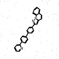 c1ccc(-c2ccc(-c3ccc(-c4cc5ccc6ccccc6n5n4)cc3)cc2)nc1